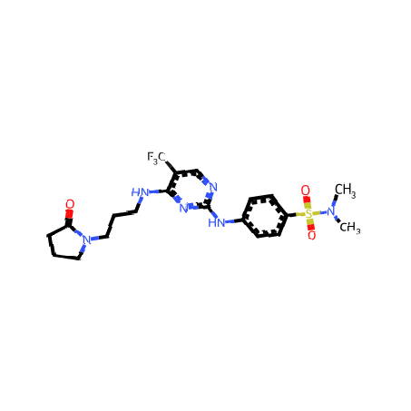 CN(C)S(=O)(=O)c1ccc(Nc2ncc(C(F)(F)F)c(NCCCN3CCCC3=O)n2)cc1